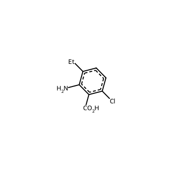 CCc1ccc(Cl)c(C(=O)O)c1N